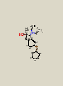 CCN(CC)CC(C)(O)Cc1ccc(SC2CCCCC2)cc1